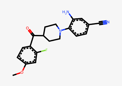 COc1ccc(C(=O)C2CCN(c3ccc(C#N)cc3N)CC2)c(F)c1